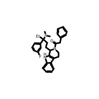 CCC(CCC1c2[nH]c3ccccc3c2CCN1C(=O)Cc1ccccc1)(c1cccc(F)c1)N(C)C